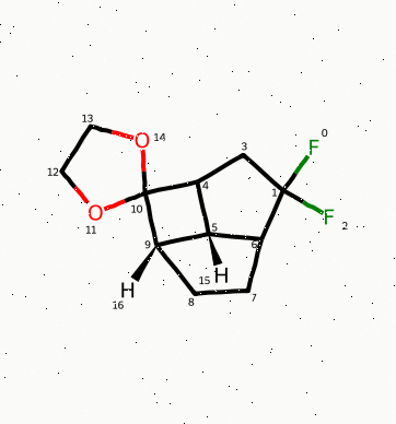 FC1(F)CC2[C@@H]3C1CC[C@@H]3C21OCCO1